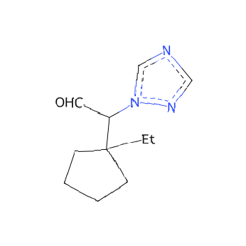 CCC1(C(C=O)n2cncn2)CCCC1